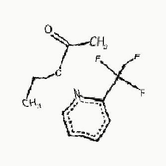 CCOC(C)=O.FC(F)(F)c1ccccn1